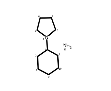 C1CCC(N2CCCC2)CC1.N